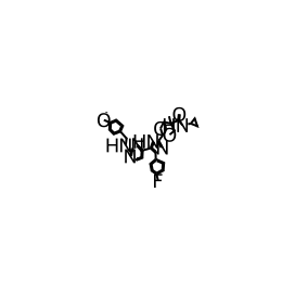 COc1ccc(CNc2nccc(-c3[nH]c(C4OCC(C)(C(=O)NC5CC5)CO4)nc3-c3ccc(F)cc3)n2)cc1